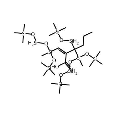 CCCC([SiH2]O[Si](C)(C)C)(C(=C[Si](C)(O[SiH2]O[Si](C)(C)C)O[Si](C)(C)C)C(=O)O)[Si](C)(O[SiH2]O[Si](C)(C)C)O[Si](C)(C)C